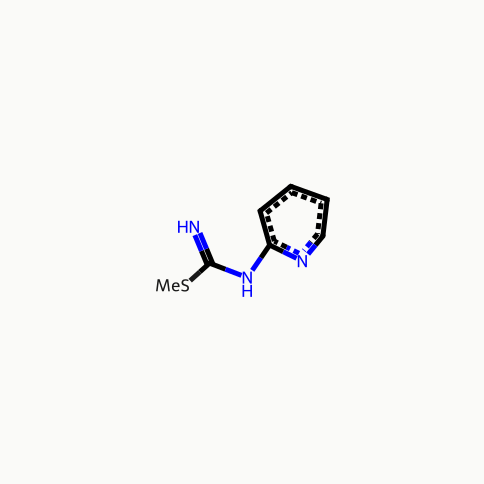 CSC(=N)Nc1ccccn1